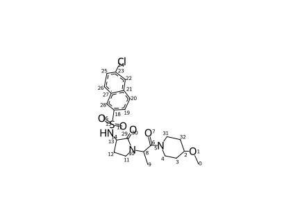 COC1CCN(C(=O)C(C)N2CCC(NS(=O)(=O)c3ccc4cc(Cl)ccc4c3)C2=O)CC1